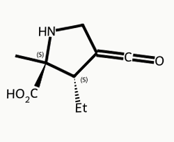 CC[C@H]1C(=C=O)CN[C@]1(C)C(=O)O